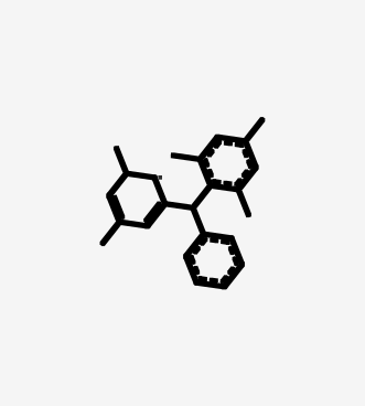 CC1=CC(C)[CH]C(C(c2ccccc2)c2c(C)cc(C)cc2C)=C1